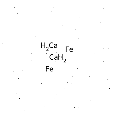 [CaH2].[CaH2].[Fe].[Fe]